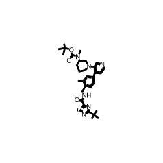 Cc1cc(-c2ccncc2N2CCCC(N(C)C(=O)OC(C)(C)C)C2)ccc1CNC(=O)c1nc(C(C)(C)C)no1